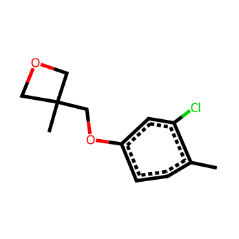 Cc1ccc(OCC2(C)COC2)cc1Cl